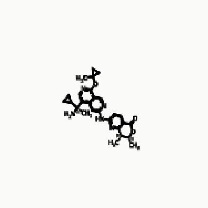 C[C@@H]1OC(=O)c2ccc(Nc3cc4c([C@@](C)(N)C5CC5)cnc(OC5(C)CC5)c4cn3)nc2[C@H]1C